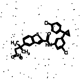 CC(C)(C[SH](=O)=O)c1ccc2sc(C(=O)Nc3cc(Cl)cc(C4(c5ccc(Cl)cc5)CC4)c3)cc2c1